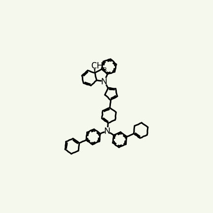 C[C@]12C=CC=CC1N(C1=CC=C(C3=CC=C(N(c4ccc(C5=CC=CCC5)cc4)c4cccc(C5=CCCCC5)c4)CC3)C1)c1ccccc12